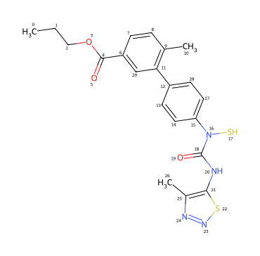 CCCOC(=O)c1ccc(C)c(-c2ccc(N(S)C(=O)Nc3snnc3C)cc2)c1